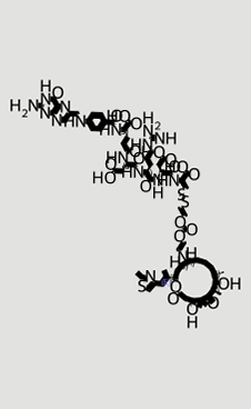 C/C(=C\c1csc(C)n1)[C@@H]1C[C@H]2[C@@H](CCC[C@H](C)[C@H](O)[C@@H](C)C(=O)C(C)(C)[C@@H](O)CC(=O)O1)N2CCOC(=O)OCCSSCC(NC(=O)[C@H](CC(=O)O)NC(=O)[C@H](CCCNC(=N)N)NC(=O)[C@H](CC(=O)O)NC(=O)CC[C@H](NC(=O)c1ccc(NCc2cnc3nc(N)[nH]c(=O)c3n2)cc1)C(=O)O)C(=O)O